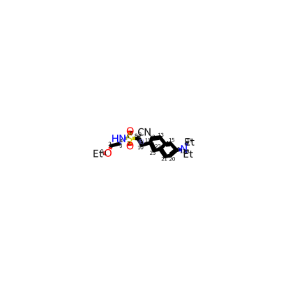 CCOCCNS(=O)(=O)/C(C#N)=C/c1ccc2cc(N(CC)CC)ccc2c1